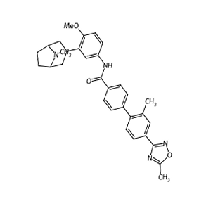 COc1ccc(NC(=O)c2ccc(-c3ccc(-c4noc(C)n4)cc3C)cc2)cc1C1CC2CCC(C1)N2C